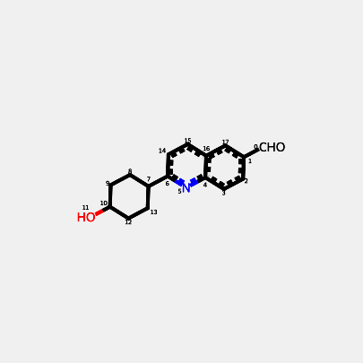 O=Cc1ccc2nc(C3CCC(O)CC3)ccc2c1